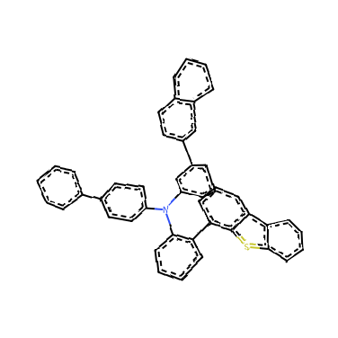 c1ccc(-c2ccc(N(c3cccc(-c4ccc5ccccc5c4)c3)c3ccccc3-c3cccc4c3sc3ccccc34)cc2)cc1